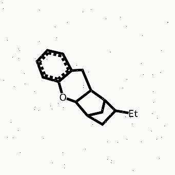 CCC1CC2CC1C1Cc3ccccc3OC21